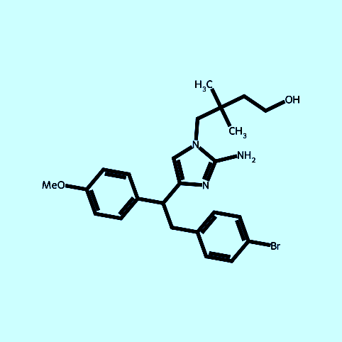 COc1ccc(C(Cc2ccc(Br)cc2)c2cn(CC(C)(C)CCO)c(N)n2)cc1